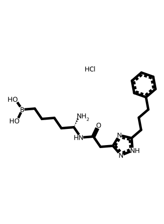 Cl.N[C@@H](CCCCB(O)O)NC(=O)Cc1n[nH]c(CCCc2ccccc2)n1